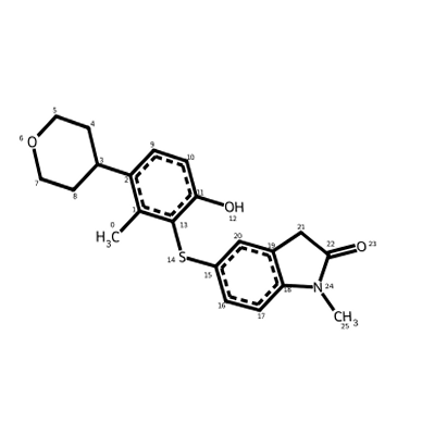 Cc1c(C2CCOCC2)ccc(O)c1Sc1ccc2c(c1)CC(=O)N2C